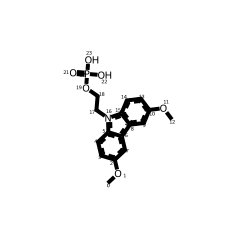 COc1ccc2c(c1)c1cc(OC)ccc1n2CCOP(=O)(O)O